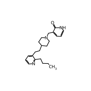 CCCCc1ncccc1CCC1CCN(Cc2ccc[nH]c2=O)CC1